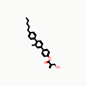 C=C(CO)C(=O)Oc1ccc(-c2ccc(-c3ccc(CCCCC)cc3)c(C)c2)cc1